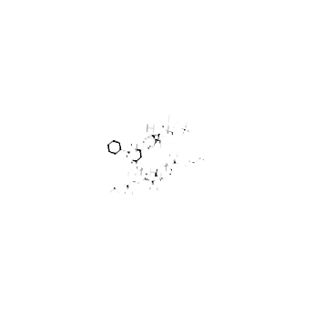 CCCCOC(=O)N1CCN(C(=O)[C@H](CCC(=O)OC(C)(C)C)NC(=O)c2cc(N3C[C@@H]4[C@H](C3)[C@H]4NC(=O)OC(C)(C)C)nc(-c3ccccc3)n2)CC1